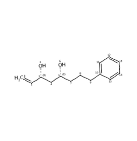 C=C[C@H](O)C[C@H](O)CCCc1ccccc1